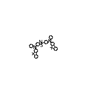 CC1(C)c2ccccc2-c2ccc(N(c3ccccc3)c3ccc(-c4nc5ccc(N(c6ccccc6)c6ccc7c(c6)C(C)(C)c6ccccc6-7)cc5s4)cc3)cc21